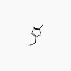 Cc1nnc(CS)s1